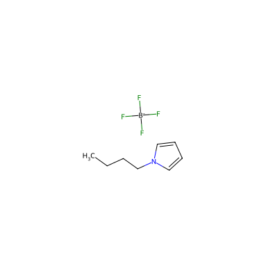 CCCCn1cccc1.F[B-](F)(F)F